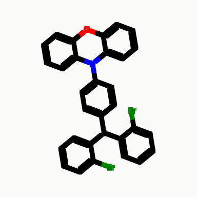 Brc1ccccc1B(c1ccc(N2c3ccccc3Oc3ccccc32)cc1)c1ccccc1Br